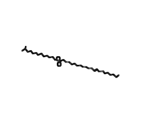 CCCCCCCCC=CCCCCCCCCCCCC(=O)OCCCCCCCCCCCC(C)C